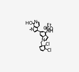 CCS(=O)(=O)Nc1cc(-c2cn(C)c3c(O)nccc23)cc2c1ccn2Cc1cccc(Cl)c1Cl